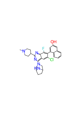 CN1CCC(c2nc(N3CC4CCC(C3)N4)c3cc(Cl)c(-c4cc(O)cc5ccccc45)c(F)c3n2)CC1